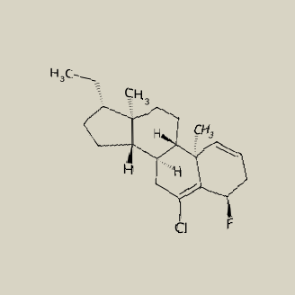 CC[C@H]1CC[C@H]2[C@@H]3CC(Cl)=C4[C@H](F)CC=C[C@]4(C)[C@H]3CC[C@]12C